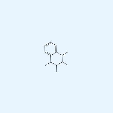 CC1c2c[c]ccc2C(C)C(C)C1C